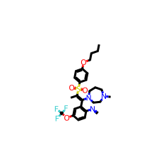 C=Nc1ccc(OC(F)(F)F)cc1/C(=C(\C)S(=O)(=O)c1ccc(OCCCC)cc1)N1CCCN(C)CC1